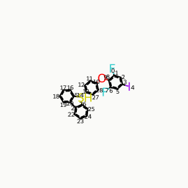 Fc1cc(I)cc(F)c1Oc1ccc([SH]2c3ccccc3-c3ccccc32)cc1